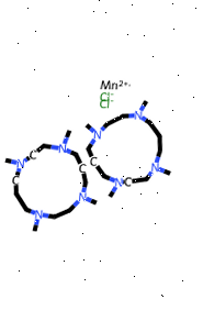 CN1CCCN(C)CCN(C)CCCN(C)CC1.CN1CCCN(C)CCN(C)CCCN(C)CC1.[Cl-].[Cl-].[Mn+2]